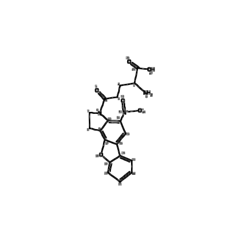 NC(CCC(=O)N1CCc2c1c([N+](=O)[O-])cc1c2oc2ccccc21)C(=O)O